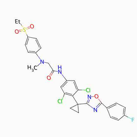 CCS(=O)(=O)c1ccc(N(C)CC(=O)Nc2cc(Cl)c(C3(c4noc(-c5ccc(F)cc5)n4)CC3)c(Cl)c2)cc1